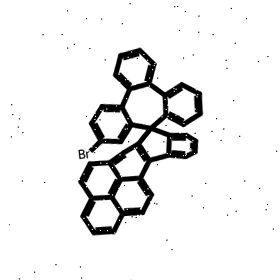 Brc1ccc2c(c1)C1(c3ccccc3-c3ccccc3-2)c2ccccc2-c2c1cc1ccc3cccc4ccc2c1c34